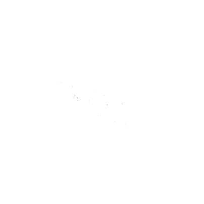 CCON=C1CCC(c2ccc(C)cc2)CC1